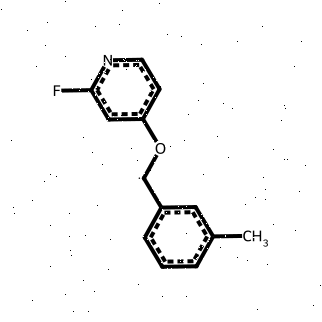 Cc1cccc([CH]Oc2ccnc(F)c2)c1